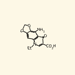 CCn1cc(C(=O)O)c(=O)c2c(N)c3c(cc21)OCO3